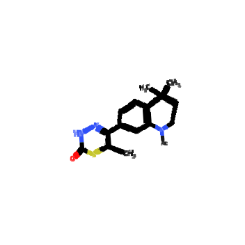 CC(=O)N1CCC(C)(C)c2ccc(C3=NNC(=O)SC3C)cc21